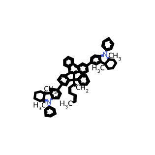 C=C(/C=C\C=C/C)C1(c2ccccc2)c2cc(-c3ccc4c(c3)C3(C)CCCCC3(C)N4c3ccccc3)ccc2-c2c1c1ccc(-c3ccc4c(c3)C3(C)CCCCC3(C)N4c3ccccc3)cc1c1ccccc21